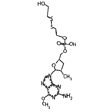 COc1nc(N)nc2c1ncn2C1OC(COP(=O)(O)OCCSSCCO)CC1C